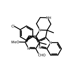 COc1cc(N2CCNCC2(C)c2c(-c3ccc(Cl)cc3)nc3ccccn23)c(C)c(C=O)n1